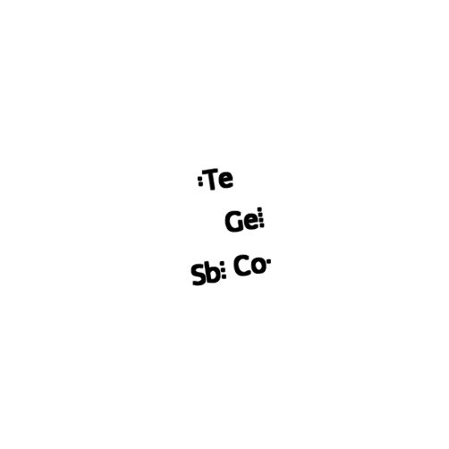 [Co].[Ge].[Sb].[Te]